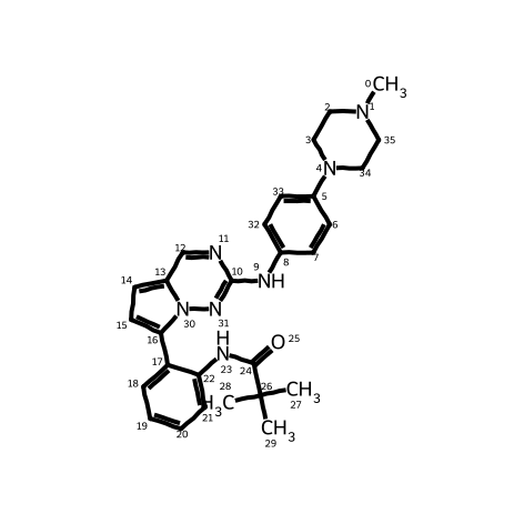 CN1CCN(c2ccc(Nc3ncc4ccc(-c5ccccc5NC(=O)C(C)(C)C)n4n3)cc2)CC1